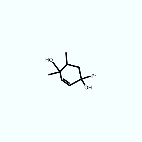 CC1CC(O)(C(C)C)C=CC1(C)O